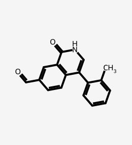 Cc1ccccc1-c1c[nH]c(=O)c2cc(C=O)ccc12